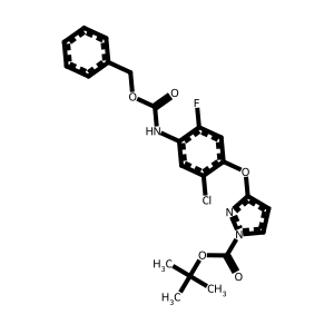 CC(C)(C)OC(=O)n1ccc(Oc2cc(F)c(NC(=O)OCc3ccccc3)cc2Cl)n1